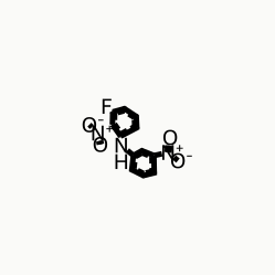 O=[N+]([O-])c1cccc(Nc2cccc(F)c2[N+](=O)[O-])c1